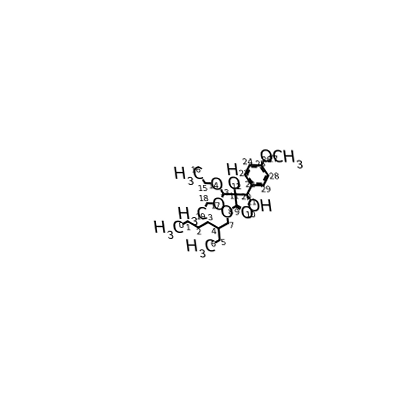 CCCCC(CC)COC(=O)C(O)(C(OCC)OCC)C(O)c1ccc(OC)cc1